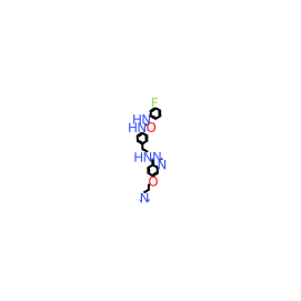 CN(C)CCCOc1ccc2c(NCCc3ccc(NC(=O)Nc4cccc(F)c4)cc3)ncnc2c1